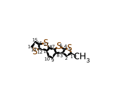 Cc1cc2c(s1)sc1c2ccc2c3sccc3sc21